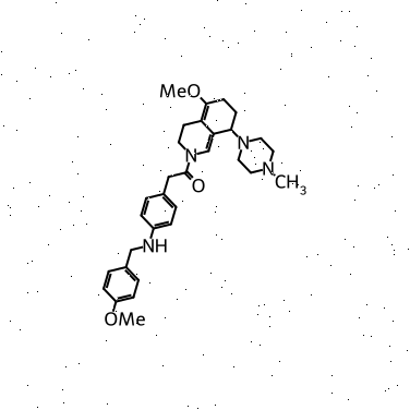 COC1=C2CCN(C(=O)Cc3ccc(NCc4ccc(OC)cc4)cc3)C=C2C(N2CCN(C)CC2)CC1